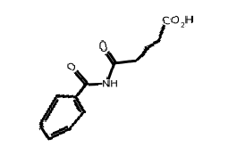 O=C(O)CCCC(=O)NC(=O)c1ccccc1